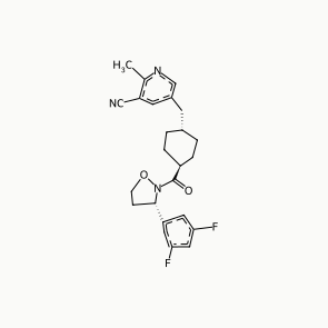 Cc1ncc(C[C@H]2CC[C@H](C(=O)N3OCC[C@H]3c3cc(F)cc(F)c3)CC2)cc1C#N